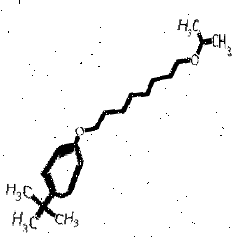 CC(C)OCCCCCCCCOc1ccc(C(C)(C)C)cc1